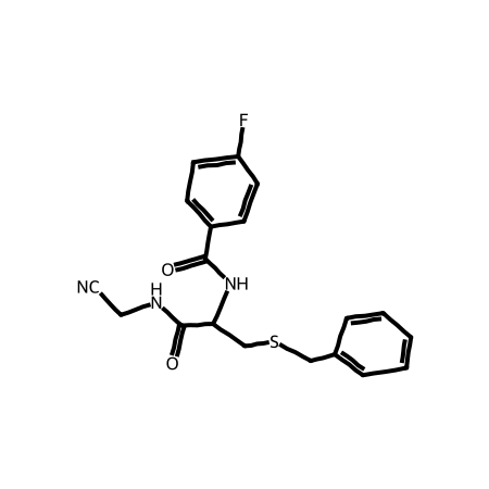 N#CCNC(=O)C(CSCc1ccccc1)NC(=O)c1ccc(F)cc1